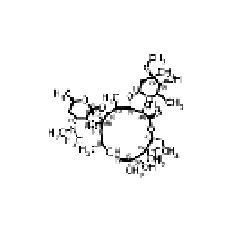 CC[C@H]1OC(=O)[C@H](C)[C@@H](O[C@H]2C[C@](C)(OC)[C@@H](O)C(C)O2)[C@H](C)[C@@H](O[C@@H]2OC(C)C[C@@H](N(C)C)C2O)[C@](C)(O)C[C@@H](C)CN[C@H](C)[C@@H](O)[C@]1(C)O